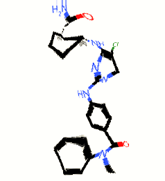 CN(C(=O)c1ccc(Nc2ncc(Cl)c(N[C@@H]3CCC[C@@H]3C(N)=O)n2)cc1)c1ccccc1